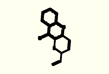 C=CC1C=Cc2oc3ccccc3c(=O)c2S1